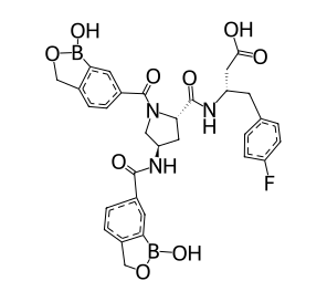 O=C(O)C[C@H](Cc1ccc(F)cc1)NC(=O)[C@@H]1C[C@@H](NC(=O)c2ccc3c(c2)B(O)OC3)CN1C(=O)c1ccc2c(c1)B(O)OC2